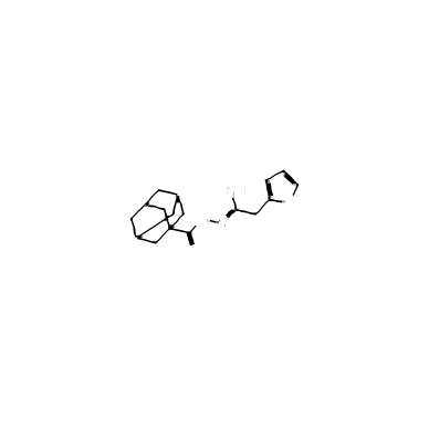 N/C(Cc1ccco1)=N\OC(=O)C12CC3CC(CC(C3)C1)C2